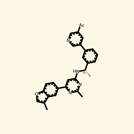 CC(=O)c1cncc(-c2cccc([C@H](C)Nc3cc(-c4ccc5occ(C)c5c4)nc(C)n3)c2)c1